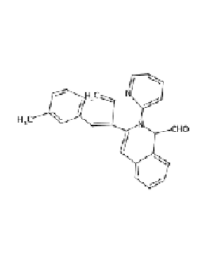 C=CC(=Cc1cccc(C)c1)C1=Cc2ccccc2C(C=O)N1c1ccccn1